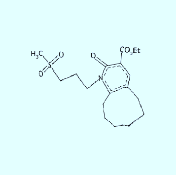 CCOC(=O)c1cc2c(n(CCCS(C)(=O)=O)c1=O)CCCCCC2